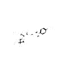 Cc1ccc(S(=O)(=O)OCOC(=O)[C@@H]2N3C(=O)C(Br)(Br)[C@H]3SC2(C)C)cc1